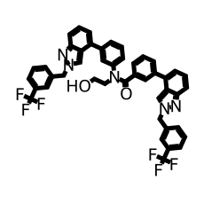 O=C(c1cccc(-c2cccc3nn(Cc4cccc(C(F)(F)F)c4)cc23)c1)N(CCO)c1cccc(-c2cccc3nn(Cc4cccc(C(F)(F)F)c4)cc23)c1